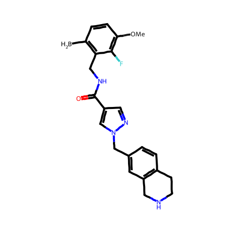 Bc1ccc(OC)c(F)c1CNC(=O)c1cnn(Cc2ccc3c(c2)CNCC3)c1